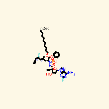 C#C/C=C(F)\C=C(/C)C[C@H](NP(=O)(OC[C@@]1(C#C)O[C@@H](n2cnc3c(N)nc(F)nc32)C[C@@H]1O)Oc1ccccc1)C(=O)OCCCCCCCCCCCCCCCCCCCC